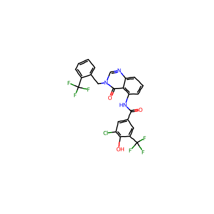 O=C(Nc1cccc2ncn(Cc3ccccc3C(F)(F)F)c(=O)c12)c1cc(Cl)c(O)c(C(F)(F)F)c1